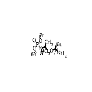 CC(C)OP(=O)(NC(C)C(=O)O)OC(C)C.CCC(C)C(N)C(=O)O